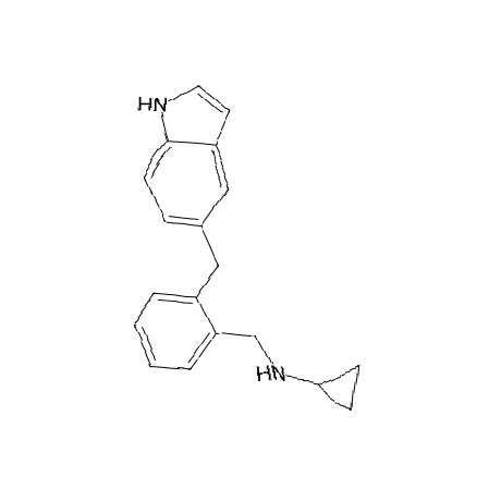 c1ccc(Cc2ccc3[nH]ccc3c2)c(CNC2CC2)c1